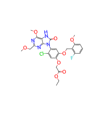 CCOC(=O)COc1cc(Cl)c(-n2c(=O)[nH]c3c(OC)nc(COC)nc32)cc1OCc1c(F)cccc1OC